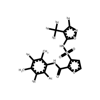 [2H]c1noc(NS(=O)(=O)c2ccsc2C(=O)Nc2c(C)c([2H])c(C)c([2H])c2C(C)=O)c1C([2H])([2H])[2H]